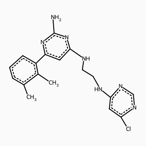 Cc1cccc(-c2cc(NCCNc3cc(Cl)ncn3)nc(N)n2)c1C